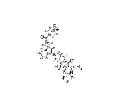 Cc1nc(C(F)(F)F)nc(C)c1C(=O)N1CC2CN(CCC3(c4ccccc4)CN(C(=O)C4CCC(F)(F)CC4)C3)CC2C1